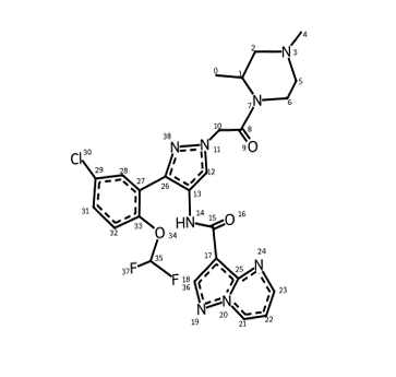 CC1CN(C)CCN1C(=O)Cn1cc(NC(=O)c2cnn3cccnc23)c(-c2cc(Cl)ccc2OC(F)F)n1